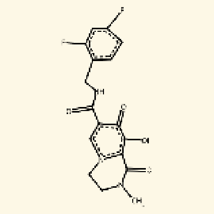 CN1CCn2cc(C(=O)NCc3ccc(F)cc3F)c(=O)c(O)c2C1=O